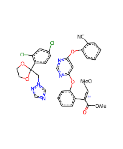 CO/C=C(/C(=O)OC)c1ccccc1Oc1cc(Oc2ccccc2C#N)ncn1.Clc1ccc(C2(Cn3cncn3)OCCO2)c(Cl)c1